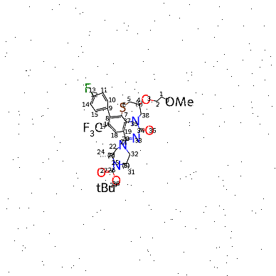 COCCO[C@@H]1CSc2c(-c3ccc(F)cc3)c(C(F)(F)F)cc3c(N4C[C@@H](C)N(C(=O)OC(C)(C)C)[C@@H](C)C4)nc(=O)n(c23)C1